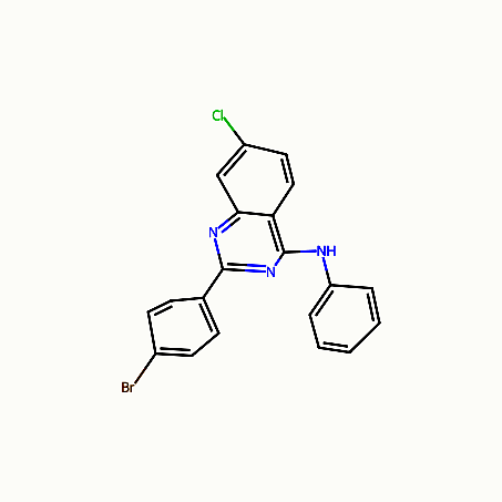 Clc1ccc2c(Nc3ccccc3)nc(-c3ccc(Br)cc3)nc2c1